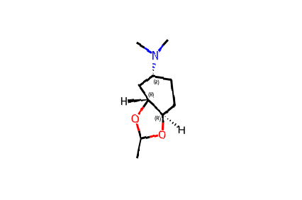 CC1O[C@@H]2CC[C@@H](N(C)C)C[C@H]2O1